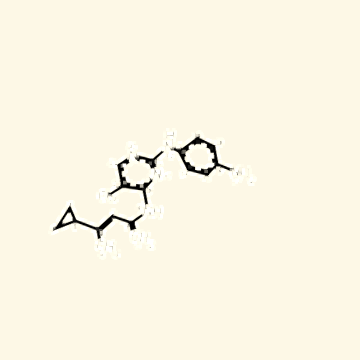 C=C(/C=C(\C)C1CC1)Nc1nc(Nc2ccc(N)cc2)ncc1Cl